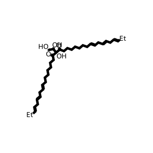 CCC=CCC=CCC=CCCCCCCCC(=O)C(O)(C(=O)CCCCCCCC=CCC=CCC=CCC)C(O)CO